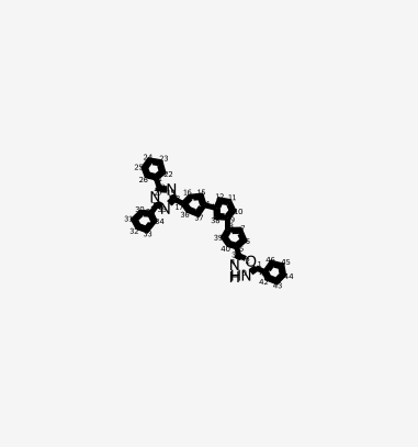 N=C(OC(=N)c1ccc(-c2cccc(-c3ccc(-c4nc(-c5ccccc5)nc(-c5ccccc5)n4)cc3)c2)cc1)c1ccccc1